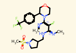 C=N/C(=C(F)\C(=N/C)NCC1CCN(S(C)(=O)=O)C1)N1CCOCC1c1ccc(C(F)(F)F)cc1